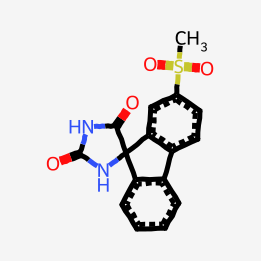 CS(=O)(=O)c1ccc2c(c1)C1(NC(=O)NC1=O)c1ccccc1-2